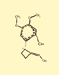 COc1cc(O)c([C@H]2CCC2=NO)cc1OC